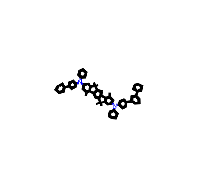 Cc1cc(N(c2ccccc2)c2ccc(-c3ccccc3)cc2)cc2c1-c1cc3c(cc1C2(C)C)-c1c(C)cc(N(c2ccccc2)c2ccc(-c4cccc(-c5ccccc5)c4)cc2)cc1C3(C)C